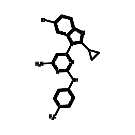 Nc1cc(-n2c(C3CC3)nc3ccc(Cl)cc32)nc(Nc2ccc(C(F)(F)F)cc2)n1